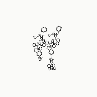 C[C@@H](C1CC1)N(Cc1ccccc1)C(=O)CN1C(=O)O[C@@]2(CCc3cc(Br)ccc32)C1=O.C[C@@H](C1CC1)N(Cc1ccccc1)C(=O)CN1C(=O)O[C@@]2(CCc3cc(C4CN(C(=O)OC(C)(C)C)C4)ccc32)C1=O